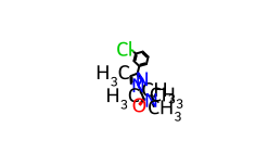 Cc1cn(C(C)(C)C(=O)N(C)C)nc1-c1cccc(Cl)c1